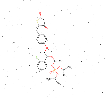 CC(C)OP(=O)(OC(C)C)OC(C)OC(COc1ccc(CC2SC(=O)CC2=O)cc1)c1ccccc1F